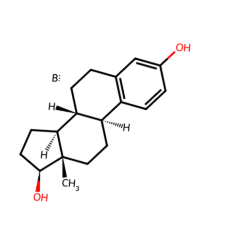 C[C@]12CC[C@@H]3c4ccc(O)cc4CC[C@H]3[C@@H]1CC[C@@H]2O.[B]